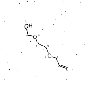 C=CCOCCOCO